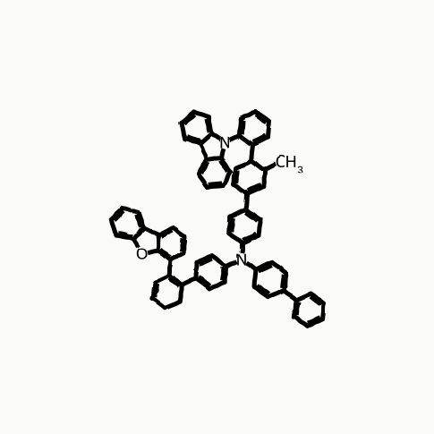 CC1C=C(c2ccc(N(c3ccc(C4=C(c5cccc6c5oc5ccccc56)C=CCC4)cc3)c3ccc(-c4ccccc4)cc3)cc2)C=CC1c1ccccc1-n1c2ccccc2c2ccccc21